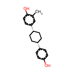 Cc1cc([C@H]2CC[C@@H](c3ccc(O)cc3)CC2)ccc1O